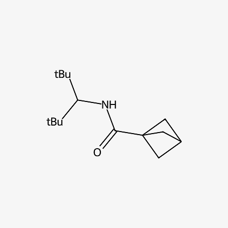 CC(C)(C)C(NC(=O)C12CC(C1)C2)C(C)(C)C